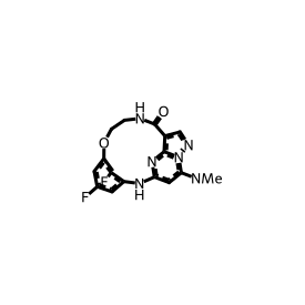 CNc1cc2nc3c(cnn13)C(=O)NCCOc1cc(F)cc(c1F)N2